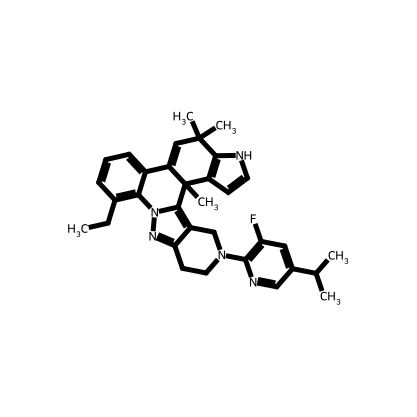 CCc1cccc2c1-n1nc3c(c1C1(C)C2=CC(C)(C)c2[nH]ccc21)CN(c1ncc(C(C)C)cc1F)CC3